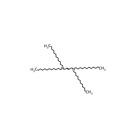 CCCCCCCCCCCCN(C/C=C/CN(CCCCCCCCCCCC)CCCCCCCCCCCC)CCCCCCCCCCCC